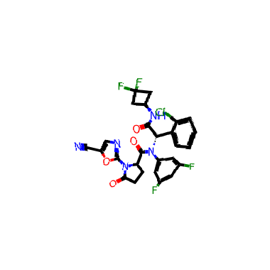 N#Cc1cnc(N2C(=O)CCC2C(=O)N(c2cc(F)cc(F)c2)[C@H](C(=O)NC2CC(F)(F)C2)c2ccccc2Cl)o1